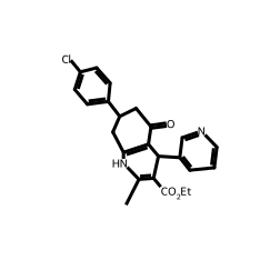 CCOC(=O)C1=C(C)NC2=C(C(=O)CC(c3ccc(Cl)cc3)C2)C1c1cccnc1